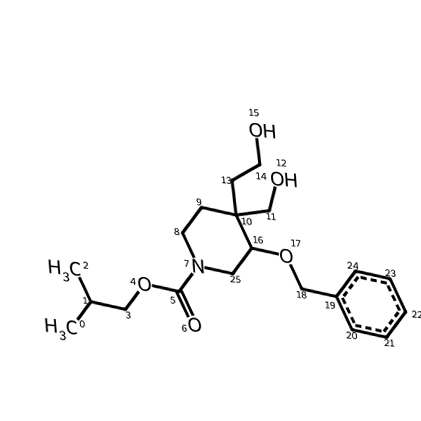 CC(C)COC(=O)N1CCC(CO)(CCO)C(OCc2ccccc2)C1